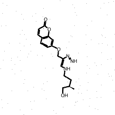 C[C@@H](CO)CCN/C=C(/COc1ccc2ccc(=O)oc2c1)N=N